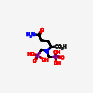 NC(=O)CCC(C(=O)O)N(CP(=O)(O)O)CP(=O)(O)O